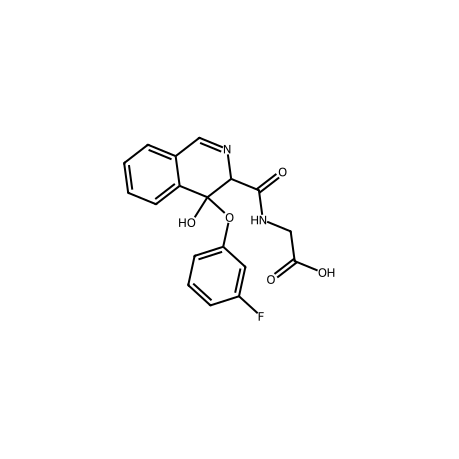 O=C(O)CNC(=O)C1N=Cc2ccccc2C1(O)Oc1cccc(F)c1